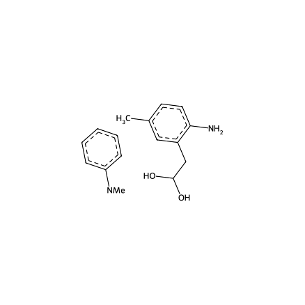 CNc1ccccc1.Cc1ccc(N)c(CC(O)O)c1